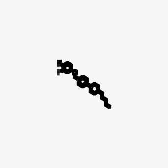 CCCCCC1CCC(c2ccc(COc3ccc(F)c(F)c3)cc2)CC1